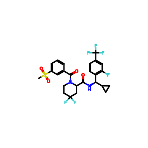 CS(=O)(=O)c1cccc(C(=O)N2CCC(F)(F)CC2C(=O)N[C@@H](c2ccc(C(F)(F)F)cc2F)C2CC2)c1